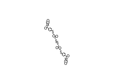 CC(C)(C(=O)c1ccc(SCCOC(=O)CCSSCCC(=O)OCCSc2ccc(C(=O)C(C)(C)N3CCOCC3)cc2)cc1)N1CCOCC1